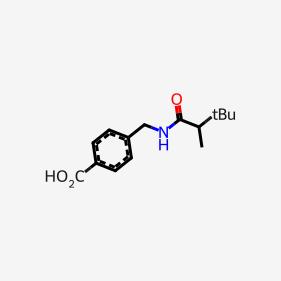 CC(C(=O)NCc1ccc(C(=O)O)cc1)C(C)(C)C